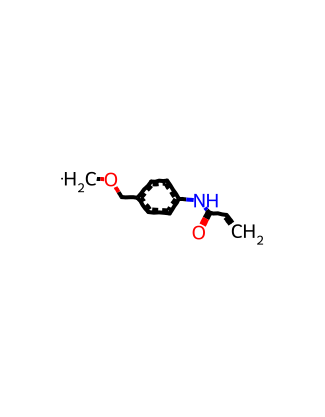 [CH2]OCc1ccc(NC(=O)C=C)cc1